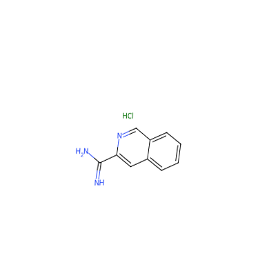 Cl.N=C(N)c1cc2ccccc2cn1